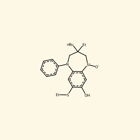 CCCCC1(CC)CN(c2ccccc2)c2cc(SCC)c(O)cc2[S+]([O-])C1